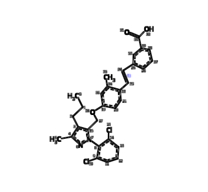 CCCc1c(C)nn(-c2c(Cl)cccc2Cl)c1COc1ccc(/C=C/c2cccc(C(=O)O)c2)c(C)c1